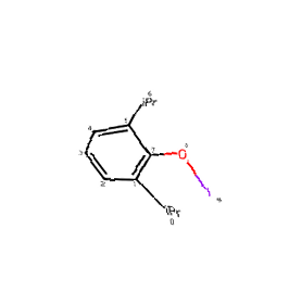 CC(C)c1cccc(C(C)C)c1OI